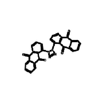 O=C1c2ccccc2C(=O)c2c1cccc2-n1nnn1-c1cccc2c1C(=O)c1ccccc1C2=O